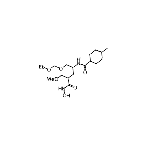 CCOCOCC(CC(COC)C(=O)NO)NC(=O)C1CCC(C)CC1